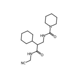 N#CCNC(=O)C(CNC(=O)N1CCCCC1)C1CCCCC1